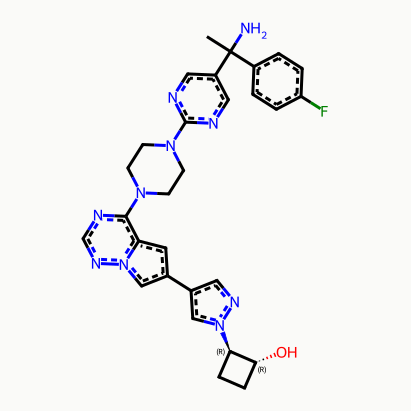 CC(N)(c1ccc(F)cc1)c1cnc(N2CCN(c3ncnn4cc(-c5cnn([C@@H]6CC[C@H]6O)c5)cc34)CC2)nc1